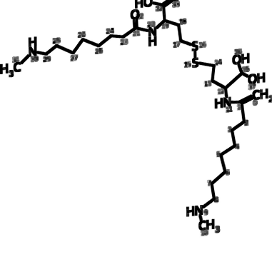 C=C(CCCCCCCNC)NC(CCSSCCC(NC(=O)CCCCCCCNC)C(=O)O)C(O)O